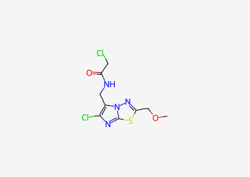 COCc1nn2c(CNC(=O)CCl)c(Cl)nc2s1